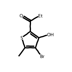 CCC(=O)c1sc(C)c(Br)c1O